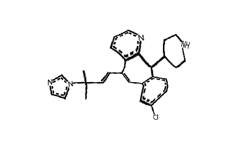 CC(C)(/C=C/C1=Cc2cc(Cl)ccc2C(C2CCNCC2)c2ncccc21)n1ccnc1